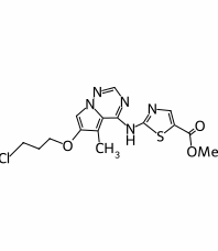 COC(=O)c1cnc(Nc2ncnn3cc(OCCCCl)c(C)c23)s1